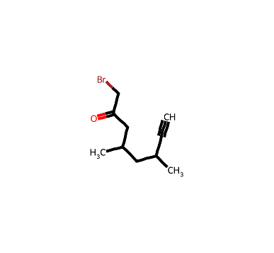 C#CC(C)CC(C)CC(=O)CBr